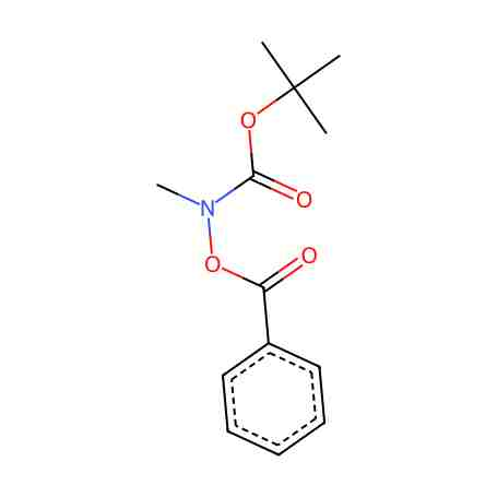 CN(OC(=O)c1ccccc1)C(=O)OC(C)(C)C